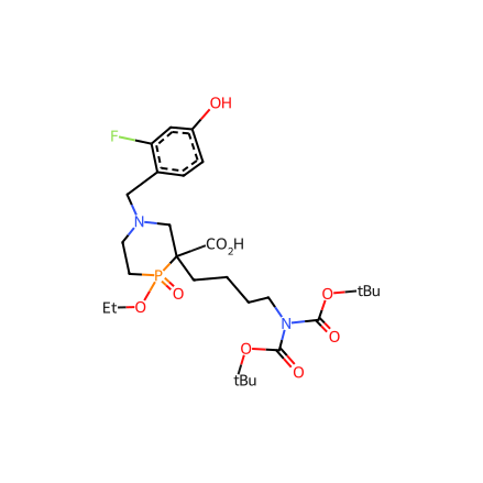 CCOP1(=O)CCN(Cc2ccc(O)cc2F)CC1(CCCCN(C(=O)OC(C)(C)C)C(=O)OC(C)(C)C)C(=O)O